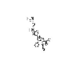 NCCOCCNc1ncc(-c2cc(-c3ccccc3)c3c(N)c([S+]([O-])C4CCC4)sc3n2)cn1